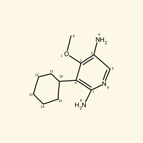 COc1c(N)cnc(N)c1C1CCCCC1